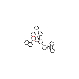 c1ccc(-c2ccccc2-c2c(-c3ccccc3)cccc2N(c2ccc(-c3cccc(-n4c5ccccc5c5ccccc54)c3)cc2)c2cccc(-c3cccc4ccccc34)c2)cc1